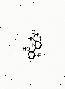 O=c1ncc2ccc(-c3c(O)cccc3F)nc2[nH]1